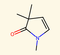 CN1C=CC(C)(C)C1=O